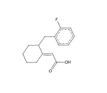 O=C(O)C=C1CCCCC1Cc1ccccc1F